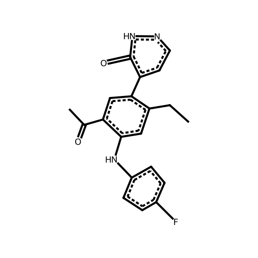 CCc1cc(Nc2ccc(F)cc2)c(C(C)=O)cc1-c1ccn[nH]c1=O